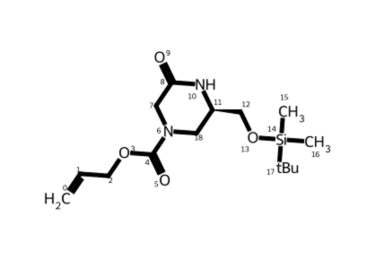 C=CCOC(=O)N1CC(=O)N[C@@H](CO[Si](C)(C)C(C)(C)C)C1